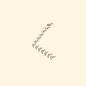 [Ce+3].[La+3].[Nd+3].[O-2].[O-2].[O-2].[O-2].[O-2].[O-2].[O-2].[O-2].[Y+3].[Zr+4]